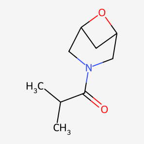 CC(C)C(=O)N1CC2CC(C1)O2